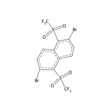 O=S(=O)(c1c(Br)ccc2c(S(=O)(=O)C(F)(F)F)c(Br)ccc12)C(F)(F)F